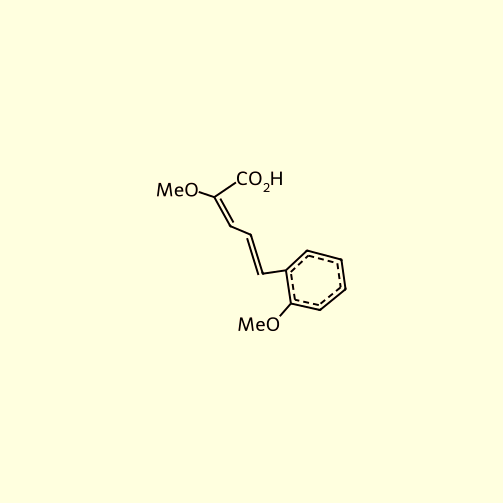 CO/C(=C/C=C/c1ccccc1OC)C(=O)O